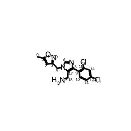 Cc1cc(Cn2cnc(-c3ccc(Cl)cc3Cl)c2CN)no1